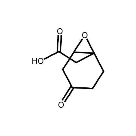 O=C(O)CC12CCC(=O)CC1O2